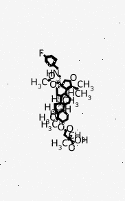 CC(=O)O[C@H](CNCc1ccc(F)cc1)[C@@]12CC[C@]3(C)[C@H](CC[C@H]4[C@H]3CC[C@H]3C(C)(C)[C@@H](OC(=O)CC(C)(C)C(=O)O)CC[C@]43C)C1=C(C(C)C)C(=O)C2